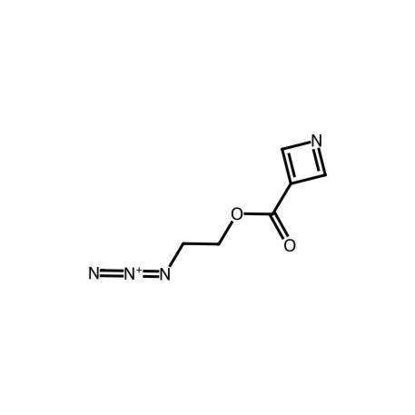 [N-]=[N+]=NCCOC(=O)C1=CN=C1